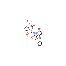 CCCC(F)OC(=O)CC(CNC(=O)c1c(C)c(-c2ccccc2)nc2ccc(Br)cc12)c1ccccc1OC(F)(F)F